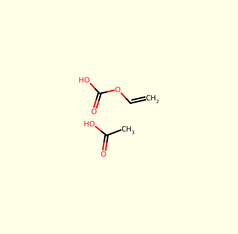 C=COC(=O)O.CC(=O)O